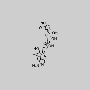 N#C[C@@]1(c2ccc3c(N)ncnn23)O[C@H](COP(=O)(O)OC[C@H]2O[C@@H]([n+]3cccc(C(N)=O)c3)[C@H](O)[C@@H]2O)[C@@H](O)[C@H]1O